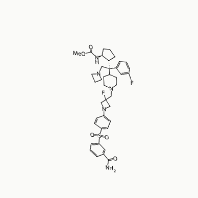 COC(=O)N[C@H]1CCC[C@@H]1C(CN1CCC1)(c1cccc(F)c1)C1CCN(CC2(F)CN(c3ccc(S(=O)(=O)c4cccc(C(N)=O)c4)cc3)C2)CC1